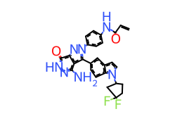 C=CC(=O)Nc1ccc(-n2nc3c(=O)[nH]nc(N)c3c2-c2ccc3c(ccn3C3CCC(F)(F)C3)c2)cc1